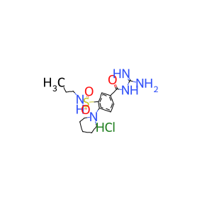 CCCNS(=O)(=O)c1cc(C(=O)NC(=N)N)ccc1N1CCCCC1.Cl